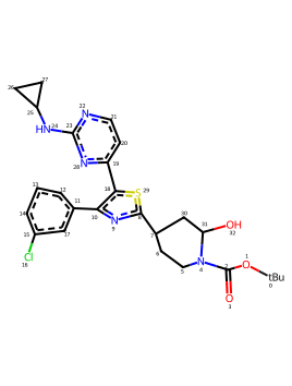 CC(C)(C)OC(=O)N1CCC(c2nc(-c3cccc(Cl)c3)c(-c3ccnc(NC4CC4)n3)s2)CC1O